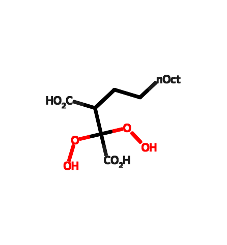 CCCCCCCCCCC(C(=O)O)C(OO)(OO)C(=O)O